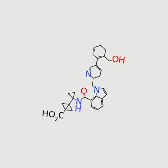 O=C(NC1(C23CC2(C(=O)O)C3)CC1)c1cccc2ccn(CC3CC=C(C4=C(CO)CCC=C4)C=N3)c12